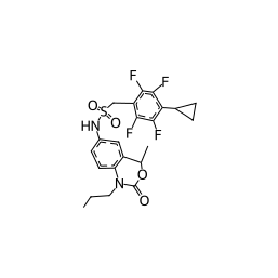 CCCN1C(=O)OC(C)c2cc(NS(=O)(=O)Cc3c(F)c(F)c(C4CC4)c(F)c3F)ccc21